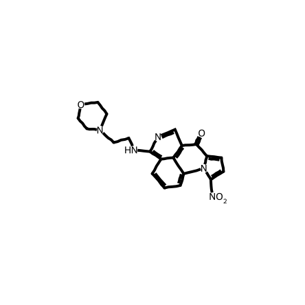 O=c1c2cnc(NCCN3CCOCC3)c3cccc(c32)n2c([N+](=O)[O-])ccc12